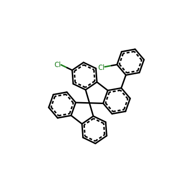 Clc1ccc2c(c1)C1(c3ccccc3-c3ccccc31)c1cccc(-c3ccccc3Cl)c1-2